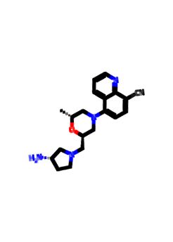 C[C@@H]1CN(c2ccc(C#N)c3ncccc23)C[C@@H](CN2CC[C@H](N)C2)O1